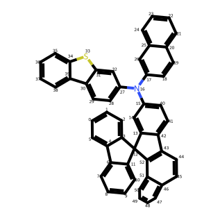 c1ccc2c(c1)-c1ccccc1C21c2cc(N(c3ccc4ccccc4c3)c3ccc4c(c3)sc3ccccc34)ccc2-c2ccc3ccccc3c21